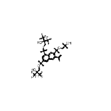 C=C(C)c1cc2cc(C(C)(C)OCC(O)(C(F)(F)F)C(F)(F)F)cc(C(C)(C)OCC(O)(C(F)(F)F)C(F)(F)F)c2cc1C(C)(C)OCC(C)(C)O